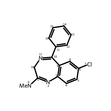 CNC1=Nc2ccc(Cl)cc2C(c2ccccc2)=NC1